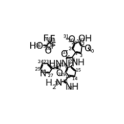 COc1cc(C(Nc2ccc(C(=N)N)cc2)C(=O)NNC(=O)c2cccnc2)cc(OC)c1O.O=C(O)C(F)(F)F